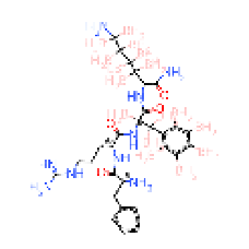 Bc1c(B)c(B)c(C(B)(B)[C@](B)(NC(=O)[C@@H](CCCNC(=N)N)NC(=O)[C@@H](N)Cc2ccccc2)C(=O)NC(C(N)=O)C(B)(B)C(B)(B)C(B)(B)C(B)(B)N)c(B)c1B